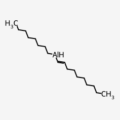 CCCCCCCCC=[CH][AlH][CH2]CCCCCCC